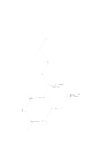 C/C=C/CCc1cc(=O)oc2[nH]c(=O)[nH]c(=O)c12